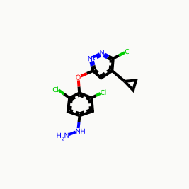 NNc1cc(Cl)c(Oc2cc(C3CC3)c(Cl)nn2)c(Cl)c1